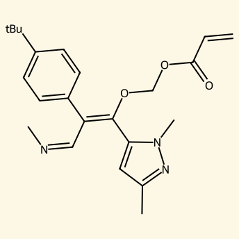 C=CC(=O)OCO/C(=C(/C=N\C)c1ccc(C(C)(C)C)cc1)c1cc(C)nn1C